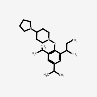 CCC(C)c1cc(C(C)C)cc(C(C)C)c1SN1CCC(N2CCCC2)CC1